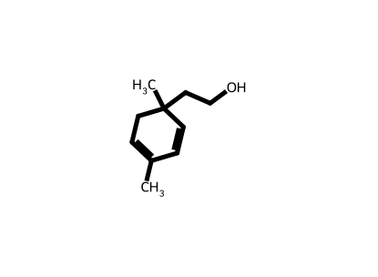 CC1=CCC(C)(CCO)C=C1